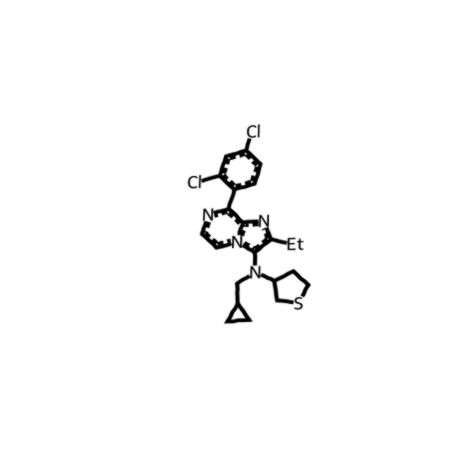 CCc1nc2c(-c3ccc(Cl)cc3Cl)nccn2c1N(CC1CC1)C1CCSC1